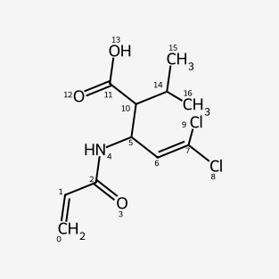 C=CC(=O)NC(C=C(Cl)Cl)C(C(=O)O)C(C)C